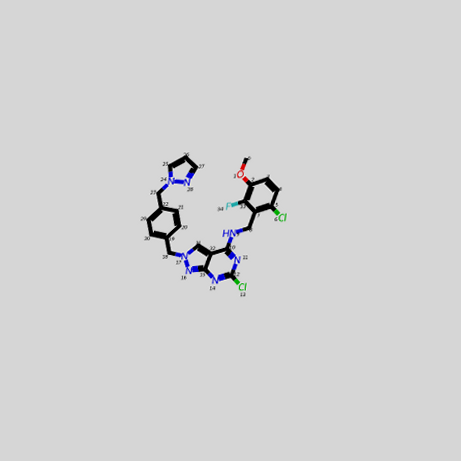 COc1ccc(Cl)c(CNc2nc(Cl)nc3nn(Cc4ccc(Cn5cccn5)cc4)cc23)c1F